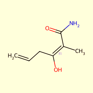 C=CC/C(O)=C(/C)C(N)=O